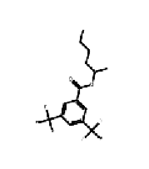 CCCCC(C)OC(=O)c1cc(C(F)(F)F)cc(C(F)(F)F)c1